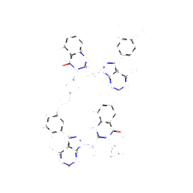 COc1ccc(-c2nn([C@H](C)c3nc4cccc(F)c4c(=O)n3C3CC(COc4cccc(-c5nn(C(C)c6nc7ccccc7c(=O)n6C6CC6)c6ncnc(N)c56)c4)C3)c3ncnc(N)c23)cc1F